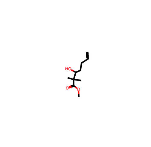 C=CCCC(O)C(C)(C)C(=O)OC